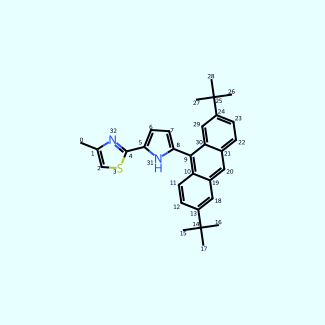 Cc1csc(-c2ccc(-c3c4ccc(C(C)(C)C)cc4cc4ccc(C(C)(C)C)cc34)[nH]2)n1